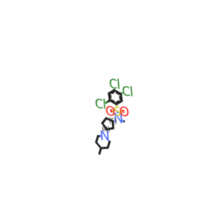 CC1CCN([C@@H]2CC[C@H](N(C)S(=O)(=O)c3cc(Cl)c(Cl)cc3Cl)C2)CC1